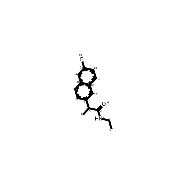 CCNC(=O)C(C)c1ccc2cc(F)ccc2c1